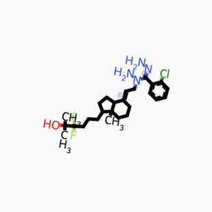 CC12CCC/C(=C\CN(N)/C(=N\N)c3ccccc3Cl)C1CCC2CCCC(F)(F)C(C)(C)O